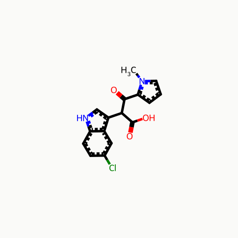 Cn1cccc1C(=O)C(C(=O)O)c1c[nH]c2ccc(Cl)cc12